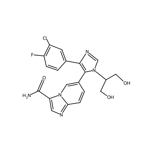 NC(=O)c1cnc2ccc(-c3c(-c4ccc(F)c(Cl)c4)ncn3C(CO)CO)cn12